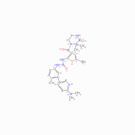 Cc1ccc(NC(=O)Nc2sc(C(C)(C)C)cc2C(=O)N2CCNC(=O)C2(C)C)cc1-c1ccc(N(C)C)nc1